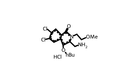 CCCCOc1c(CN)n(CCOC)c(=O)c2cc(Cl)c(Cl)cc12.Cl